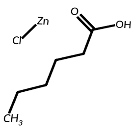 CCCCCC(=O)O.[Cl][Zn]